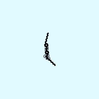 CCCCCCCCc1ccc(N=Nc2ccc(OC(=O)C(C)OCCCCCCC)cc2)cc1